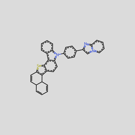 C1=CC2C=Cc3sc4c(ccc5c4c4ccccc4n5-c4ccc(-c5cn6ccccc6n5)cc4)c3C2C=C1